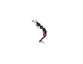 CCCCCCCC1CCC(C(F)(F)Oc2ccc(-c3ccc(-c4ccc(OCC)c(F)c4F)cc3)cc2F)OC1